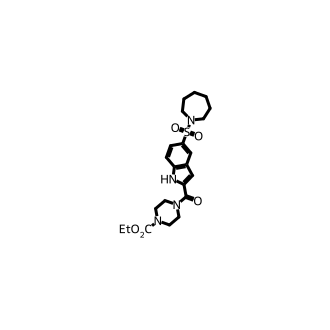 CCOC(=O)N1CCN(C(=O)c2cc3cc(S(=O)(=O)N4CCCCCC4)ccc3[nH]2)CC1